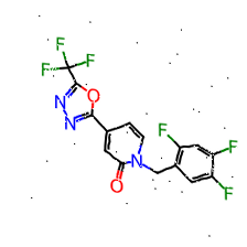 O=c1cc(-c2nnc(C(F)(F)F)o2)ccn1Cc1cc(F)c(F)cc1F